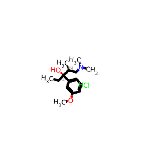 CC[C@@](O)(c1cccc(OC)c1)[C@@H](C)CN(C)C.Cl